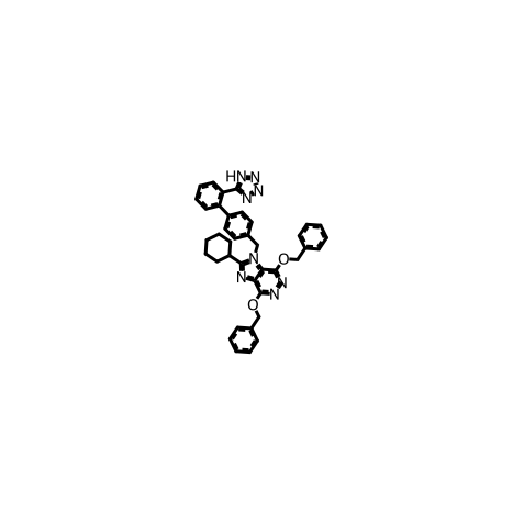 c1ccc(COc2nnc(OCc3ccccc3)c3c2nc(C2CCCCC2)n3Cc2ccc(-c3ccccc3-c3nnn[nH]3)cc2)cc1